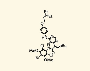 CCCC/C=C(/C(=O)Nc1c(Cl)c(OC)c(Br)c(OC)c1Cl)c1ncnc(Nc2ccc(OCCN(CC)CC)cc2)c1C